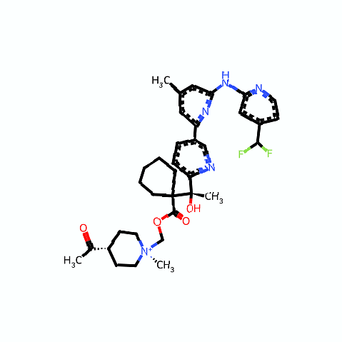 Cc1cc(Nc2cc(C(F)F)ccn2)nc(-c2ccc([C@](C)(O)C3(C(=O)OC[N@+]4(C)CC[C@@H](C(C)=O)CC4)CCCCC3)nc2)c1